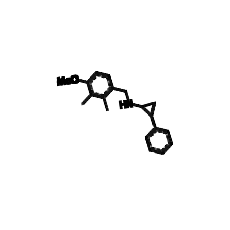 COc1ccc(CNC2CC2c2ccccc2)c(C)c1C